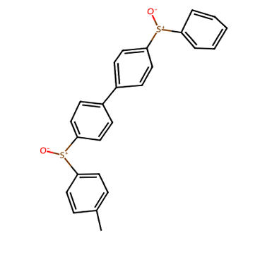 Cc1ccc([S+]([O-])c2ccc(-c3ccc([S+]([O-])c4ccccc4)cc3)cc2)cc1